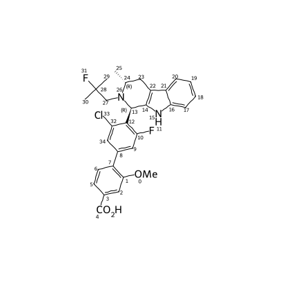 COc1cc(C(=O)O)ccc1-c1cc(F)c([C@@H]2c3[nH]c4ccccc4c3C[C@@H](C)N2CC(C)(C)F)c(Cl)c1